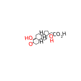 C[C@]12CCC(=O)C(O)=C1CC[C@@H]1[C@@H]2CC[C@@]2(C)[C@H]1CC[C@]2(O)CC(=O)O